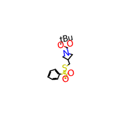 CC(C)(C)OC(=O)N1CC(CSS(=O)(=O)c2ccccc2)C1